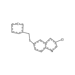 Clc1cnc2ccc(SCc3ccccc3)cc2c1